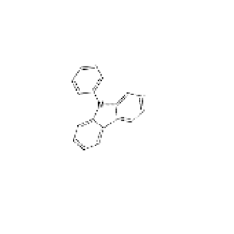 [c]1ccc2c3[c]cccc3n(-c3ccccc3)c2c1